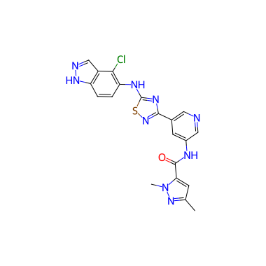 Cc1cc(C(=O)Nc2cncc(-c3nsc(Nc4ccc5[nH]ncc5c4Cl)n3)c2)n(C)n1